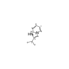 CC(C)C1=CN2C=CC=CC2N1